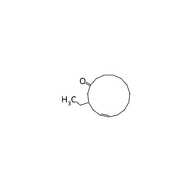 CCC1CC=CCCCCCCCCCC(=O)C1